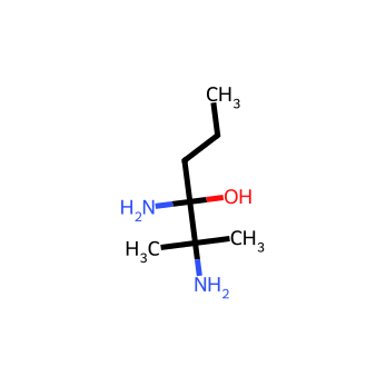 CCCC(N)(O)C(C)(C)N